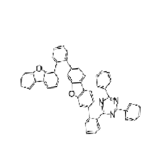 c1ccc(-c2nc(-c3ccccc3)nc(-c3ccccc3-c3ccc4c(c3)oc3cc(-c5ccccc5-c5cccc6c5oc5ccccc56)ccc34)n2)cc1